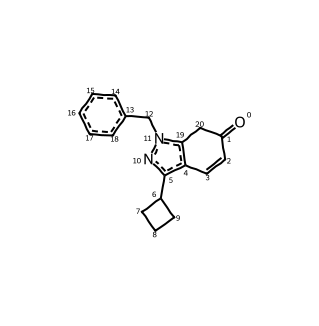 O=C1C=Cc2c(C3CCC3)nn(Cc3ccccc3)c2C1